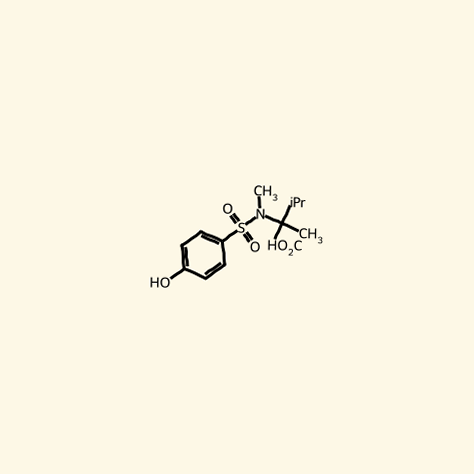 CC(C)C(C)(C(=O)O)N(C)S(=O)(=O)c1ccc(O)cc1